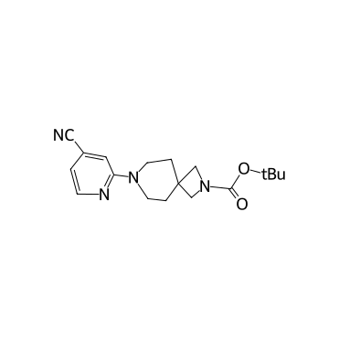 CC(C)(C)OC(=O)N1CC2(CCN(c3cc(C#N)ccn3)CC2)C1